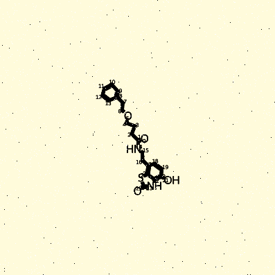 O=C(CCCOCCc1ccccc1)NCCc1ccc(O)c2[nH]c(=O)sc12